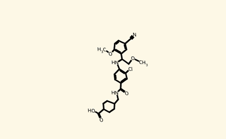 COCC(Nc1ccc(C(=O)NCC2CCC(C(=O)O)CC2)cc1Cl)c1cc(C#N)ccc1OC